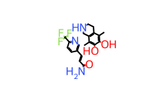 Cc1c(O)c(O)c(C)c2c1CCNC2.NC(=O)C=Cc1ccc(C(F)(F)F)nc1